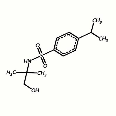 CC(C)c1ccc(S(=O)(=O)NC(C)(C)CO)cc1